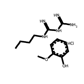 CCCCNC(=N)NC(=N)N.COc1ccccc1O.Cl